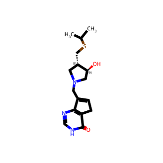 CC(C)SC[C@H]1CN(CC2=CCc3c2nc[nH]c3=O)C[C@@H]1O